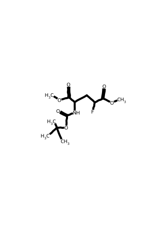 COC(=O)C(F)CC(NC(=O)OC(C)(C)C)C(=O)OC